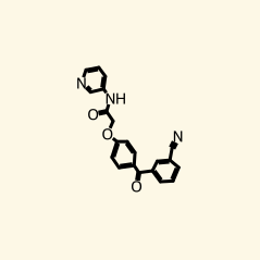 N#Cc1cccc(C(=O)c2ccc(OCC(=O)Nc3cccnc3)cc2)c1